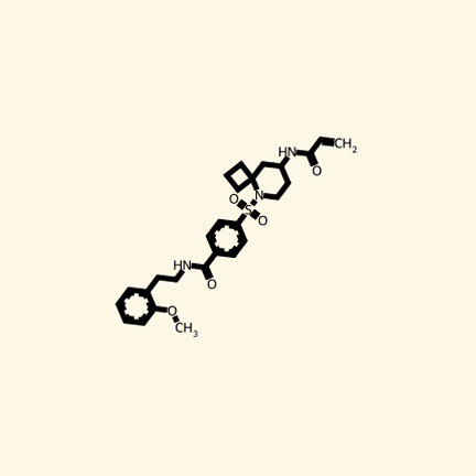 C=CC(=O)NC1CCN(S(=O)(=O)c2ccc(C(=O)NCCc3ccccc3OC)cc2)C2(CCC2)C1